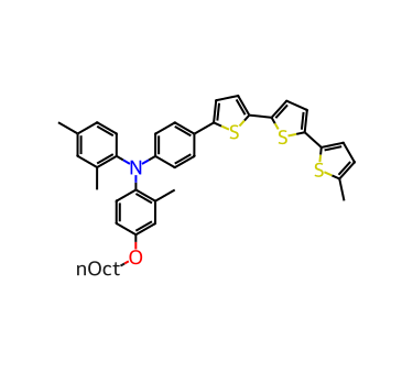 CCCCCCCCOc1ccc(N(c2ccc(-c3ccc(-c4ccc(-c5ccc(C)s5)s4)s3)cc2)c2ccc(C)cc2C)c(C)c1